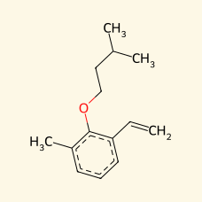 C=Cc1cccc(C)c1OCCC(C)C